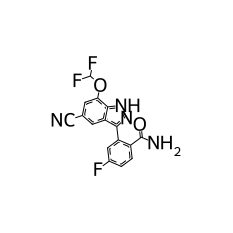 N#Cc1cc(OC(F)F)c2[nH]nc(-c3cc(F)ccc3C(N)=O)c2c1